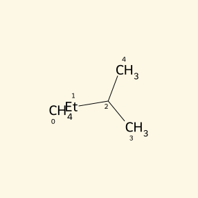 C.CCC(C)C